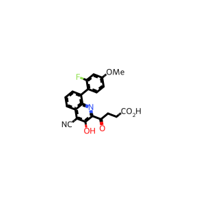 COc1ccc(-c2cccc3c(C#N)c(O)c(C(=O)CCC(=O)O)nc23)c(F)c1